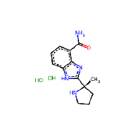 C[C@@]1(c2nc3c(C(N)=O)cccc3[nH]2)CCCN1.Cl.Cl